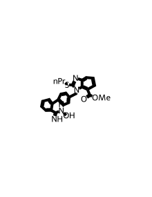 CCCSc1nc2cccc(C(=O)OC)c2n1Cc1ccc(-c2ccccc2C(=N)NO)cc1